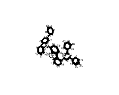 c1ccc(-c2ccc3c4ccccc4n(-c4cccc5c4oc4cccc(-c6cc(-c7ccccc7)nc(-c7ccccc7)n6)c45)c3c2)cc1